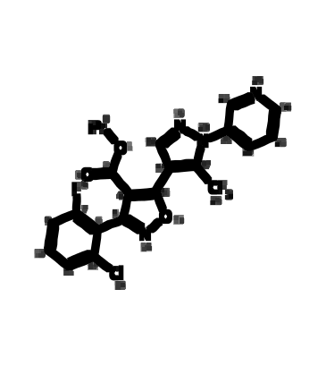 CC(C)OC(=O)c1c(-c2c(F)cccc2Cl)noc1-c1cnn(-c2cccnc2)c1C(F)(F)F